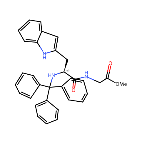 COC(=O)CNC(=O)[C@H](Cc1cc2ccccc2[nH]1)NC(c1ccccc1)(c1ccccc1)c1ccccc1